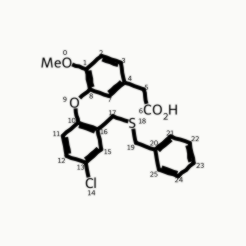 COc1ccc(CC(=O)O)cc1Oc1ccc(Cl)cc1CSCc1ccccc1